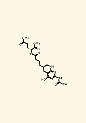 COC(=O)CC[C@@H](NC(=O)CCCC1CNc2nc(NC(=O)C(C)(C)C)nc(O)c2C1)C(=O)OC